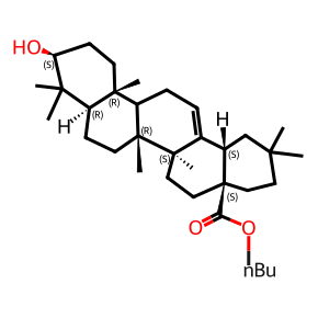 CCCCOC(=O)[C@]12CCC(C)(C)C[C@H]1C1=CCC3[C@@]4(C)CC[C@H](O)C(C)(C)[C@@H]4CC[C@@]3(C)[C@]1(C)CC2